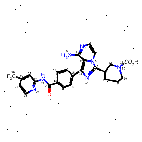 Nc1nccn2c(C3CCCN(C(=O)O)C3)nc(-c3ccc(C(=O)Nc4cc(C(F)(F)F)ccn4)cc3)c12